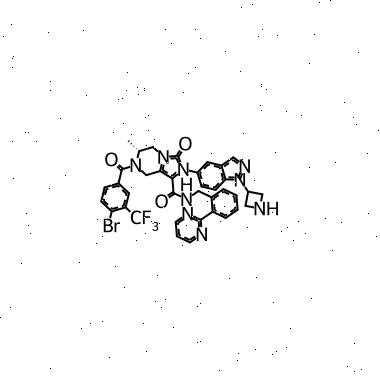 C[C@@H]1Cn2c(c(C(=O)NCc3ccccc3-c3ncccn3)n(-c3ccc4c(cnn4C4CNC4)c3)c2=O)CN1C(=O)c1ccc(Br)c(C(F)(F)F)c1